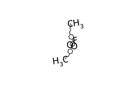 CCCCCC1CCC(C2(F)COC(C3CCC(CCC)CC3)OC2)CC1